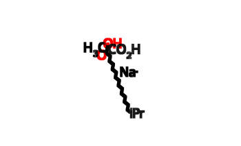 CC(C)CCCCCCCCCCCCCCC(=O)C(C)(O)C(=O)O.[Na]